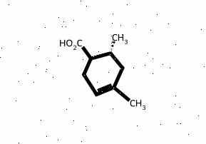 CC1=CCC(C(=O)O)[C@H](C)C1